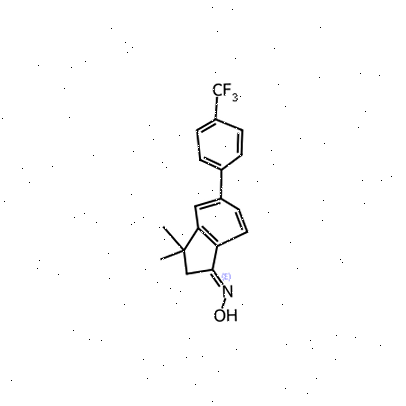 CC1(C)C/C(=N\O)c2ccc(-c3ccc(C(F)(F)F)cc3)cc21